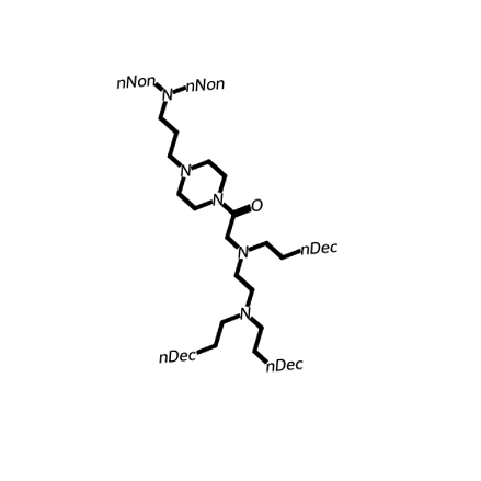 CCCCCCCCCCCCN(CCCCCCCCCCCC)CCN(CCCCCCCCCCCC)CC(=O)N1CCN(CCCN(CCCCCCCCC)CCCCCCCCC)CC1